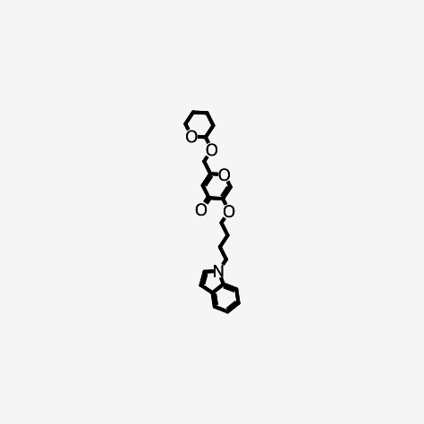 O=c1cc(COC2CCCCO2)occ1OCCCCn1ccc2ccccc21